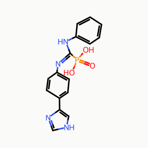 O=P(O)(O)C(=Nc1ccc(-c2c[nH]cn2)cc1)Nc1ccccc1